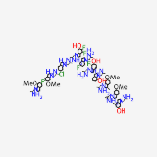 CC(N)Cn1ccc2c(F)c(F)c(O)cc21.CC(N)Cn1ccc2cc(F)ccc21.CC(N)Cn1ccc2ccc(Cl)cc21.CC(N)Cn1ccc2ccc(O)c(F)c21.CC(N)Cn1ccc2cccc(O)c21.COc1cc2c(ccn2CC(C)N)cc1F.COc1ccc2c(C)cn(CC(C)N)c2c1.COc1ccc2ccn(C[C@H](C)N)c2c1.COc1cccc2ccn(CC(C)N)c12.Cc1cc(O)cc2c1ccn2CC(C)N